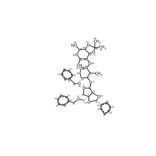 CC1C(O[C@@H]2OC[C@]3(COCc4ccccc4)O[C@@H](c4ccccc4)OC23)[C@H](OCc2ccccc2)CO[C@H]1O[C@H]1C(C)O[C@@H](O)C2OC(C)(C)OC21